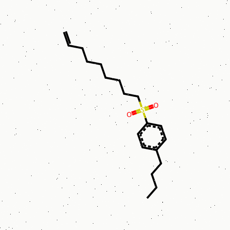 C=CCCCCCCCS(=O)(=O)c1ccc(CCCC)cc1